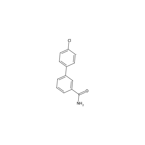 NC(=O)c1cccc(-c2c[c]c(Cl)cc2)c1